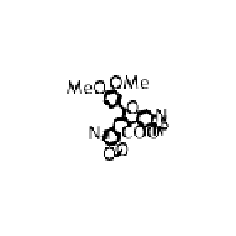 COc1ccc(C(=O)C(Cc2ccc3c(c2)OCO3)=C(C(=O)[O-])c2ccc3nsnc3c2)cc1OC.[Na+]